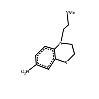 CNCCN1CCSc2cc([N+](=O)[O-])ccc21